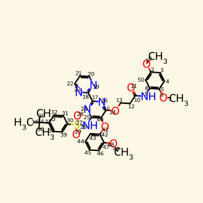 COc1ccc(OC)c(NC(=O)CCOc2nc(-c3ncccn3)nc(NS(=O)(=O)c3ccc(C(C)(C)C)cc3)c2Oc2ccccc2OC)c1